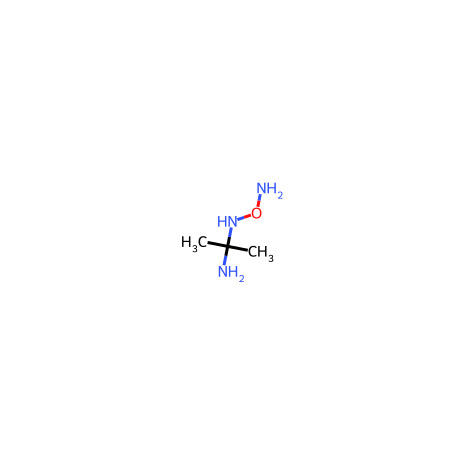 CC(C)(N)NON